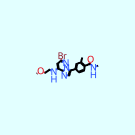 CNC(=O)c1ccc(-c2cnc3c(NCCOC)cc(Br)nn23)cc1C